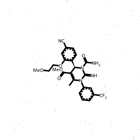 COCCOc1cc(C#N)ccc1[C@@H]1C(C(=O)OC)=C(C)N(c2cccc(C(F)(F)F)c2)C(=N)N1C(N)=O